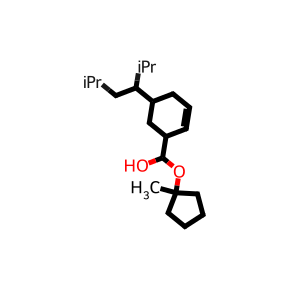 CC(C)CC(C(C)C)C1CC=CC(C(O)OC2(C)CCCC2)C1